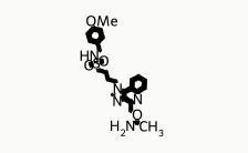 COc1ccc(CNS(=O)(=O)CCCCn2cnc3c(COC(C)N)nc4ccccc4c32)cc1